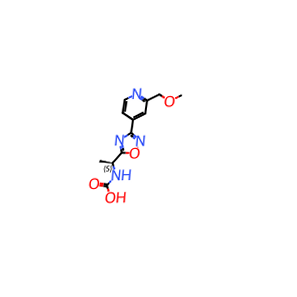 COCc1cc(-c2noc([C@H](C)NC(=O)O)n2)ccn1